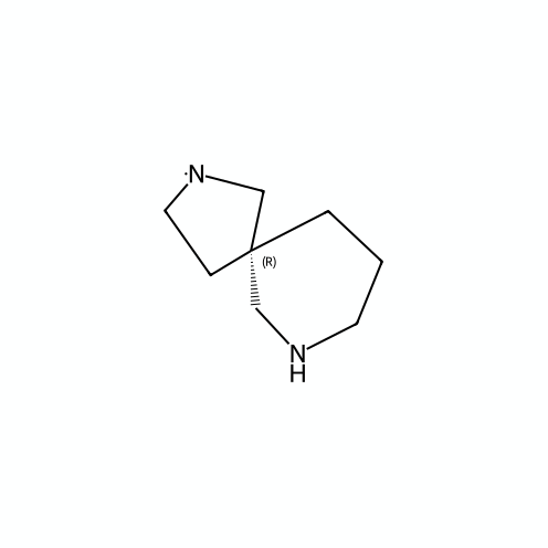 C1CNC[C@]2(C1)CC[N]C2